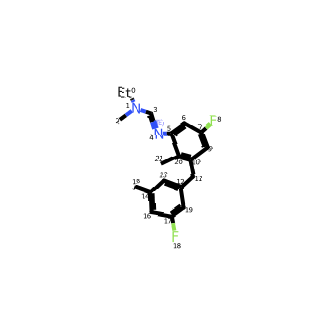 CCN(C)/C=N/c1cc(F)cc(Cc2cc(C)cc(F)c2)c1C